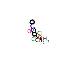 C=C(OC)c1c(Cl)cc2c(c1Cl)CCN(Cc1ccccc1)C2=O